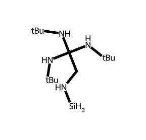 CC(C)(C)NC(CN[SiH3])(NC(C)(C)C)NC(C)(C)C